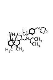 C=C(CC(=C)[C@@H](CC)CN(C(CC)CC)C(C)c1ccc(CN2CCOCC2)cc1)c1nc(C#N)ccc1C